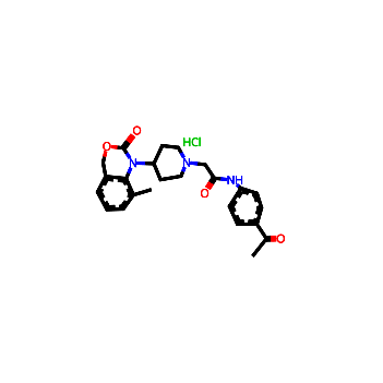 CC(=O)c1ccc(NC(=O)CN2CCC(N3C(=O)OCc4cccc(C)c43)CC2)cc1.Cl